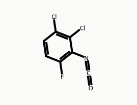 O=C=Nc1c(F)ccc(Cl)c1Cl